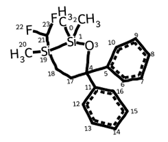 C[Si]1(C)OC(c2ccccc2)(c2ccccc2)CC[Si]1(C)C(F)F